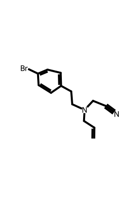 C=CCN(CC#N)CCc1ccc(Br)cc1